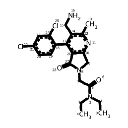 CCN(CC)C(=O)CN1Cc2nc(C)c(CN)c(-c3ccc(Cl)cc3Cl)c2C1=O